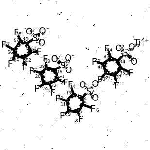 O=S(=O)([O-])c1c(F)c(F)c(F)c(F)c1F.O=S(=O)([O-])c1c(F)c(F)c(F)c(F)c1F.O=S(=O)([O-])c1c(F)c(F)c(F)c(F)c1F.O=S(=O)([O-])c1c(F)c(F)c(F)c(F)c1F.[Ti+4]